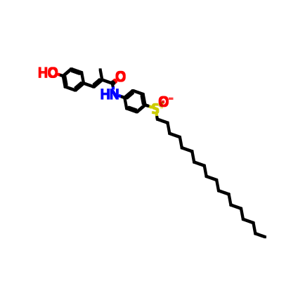 CCCCCCCCCCCCCCCCCC[S+]([O-])c1ccc(NC(=O)C(C)=Cc2ccc(O)cc2)cc1